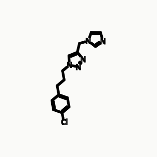 Clc1ccc(CCCn2cc(Cn3ccnc3)nn2)cc1